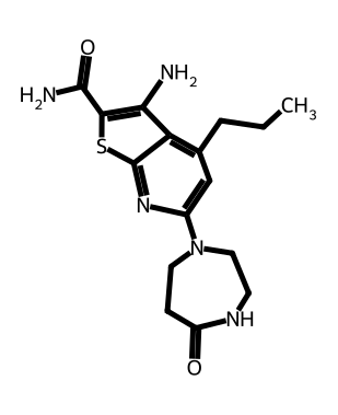 CCCc1cc(N2CCNC(=O)CC2)nc2sc(C(N)=O)c(N)c12